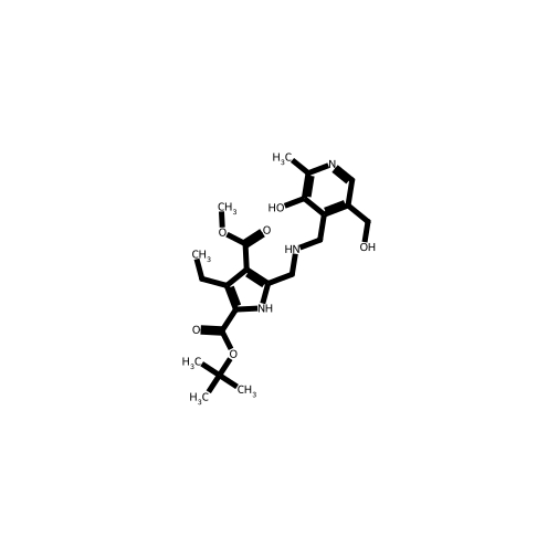 CCc1c(C(=O)OC(C)(C)C)[nH]c(CNCc2c(CO)cnc(C)c2O)c1C(=O)OC